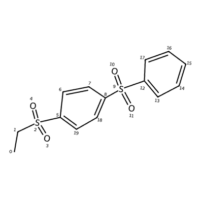 CCS(=O)(=O)c1ccc(S(=O)(=O)c2ccccc2)cc1